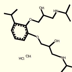 CC(C)NCC(O)COc1cccc(C(C)C)c1OCC(O)CNC(C)C.Cl.Cl